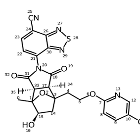 CC12OC(CCOc3ccc(Cl)cn3)(C[C@H]1O)[C@@H]1C(=O)N(c3ccc(C#N)c4nsnc34)C(=O)[C@@H]12